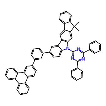 CC1(C)c2ccccc2-c2cc3c4cc(-c5cccc(-c6ccc7c8ccccc8c8ccccc8c7c6)c5)ccc4n(-c4nc(-c5ccccc5)nc(-c5ccccc5)n4)c3cc21